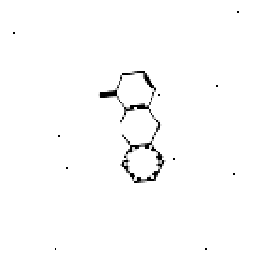 O=C1CC=CC2=C1Sc1ccccc1C2